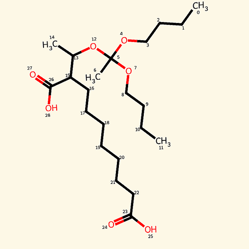 CCCCOC(C)(OCCCC)OC(C)C(CCCCCCCC(=O)O)C(=O)O